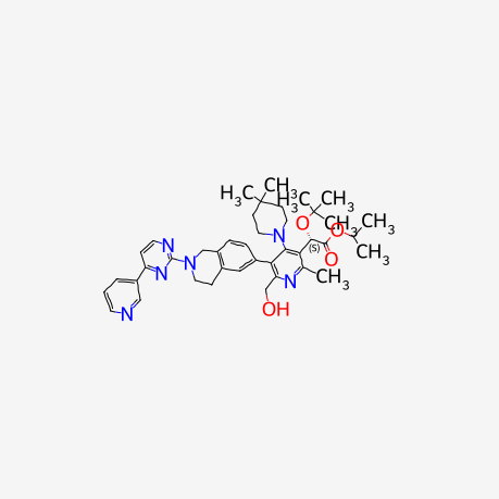 Cc1nc(CO)c(-c2ccc3c(c2)CCN(c2nccc(-c4cccnc4)n2)C3)c(N2CCC(C)(C)CC2)c1[C@H](OC(C)(C)C)C(=O)OC(C)C